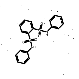 O=S(=O)(Nc1ccccc1)c1ccccc1S(=O)(=O)Nc1ccccc1